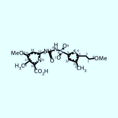 COCCc1sc(S(=O)(=O)NC(=O)Nc2cc(OC)c(C)c(C(=O)O)n2)cc1C